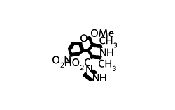 COC(=O)C1=C(C)NC(C)=C(C(=O)O)C1c1cccc([N+](=O)[O-])c1.c1c[nH]cn1